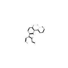 C=Cc1sc2c(-c3cccc[n+]3C)c(C)ccc2c1/C=C\C